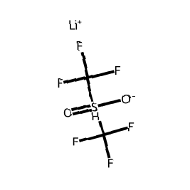 O=[SH]([O-])(C(F)(F)F)C(F)(F)F.[Li+]